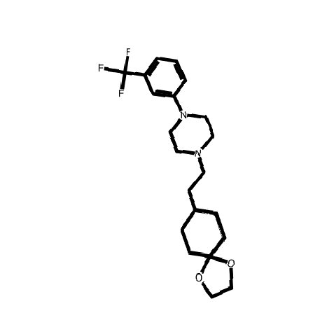 FC(F)(F)c1cccc(N2CCN(CCC3CCC4(CC3)OCCO4)CC2)c1